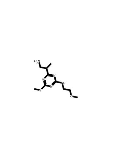 COCCNc1nc(SC)nc(C(C)CN)n1